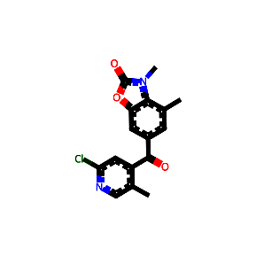 Cc1cnc(Cl)cc1C(=O)c1cc(C)c2c(c1)oc(=O)n2C